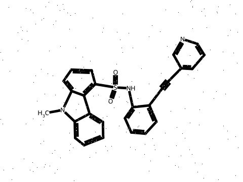 Cn1c2ccccc2c2c(S(=O)(=O)Nc3ccccc3C#Cc3cccnc3)cccc21